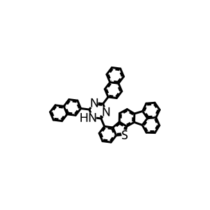 c1ccc2cc(C3=NC(c4ccc5ccccc5c4)NC(c4cccc5sc6c7c(ccc6c45)-c4cccc5cccc-7c45)=N3)ccc2c1